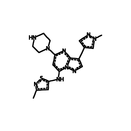 Cc1cc(Nc2cc(N3CCNCC3)nc3c(-c4cnn(C)c4)cnn23)sn1